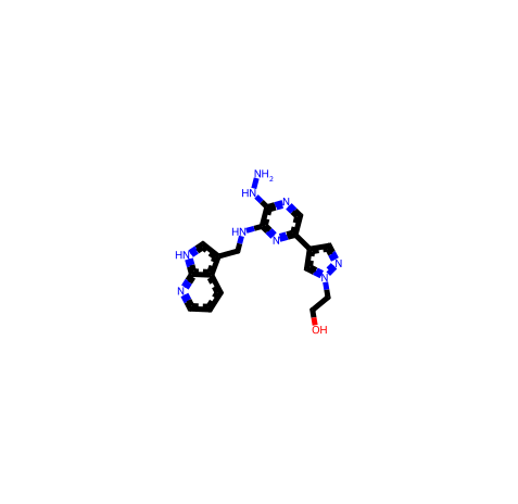 NNc1ncc(-c2cnn(CCO)c2)nc1NCc1c[nH]c2ncccc12